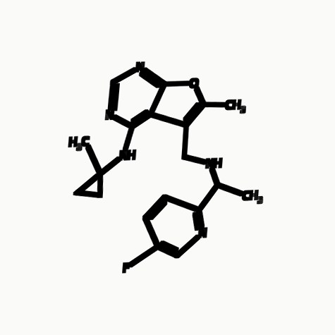 Cc1oc2ncnc(NC3(C)CC3)c2c1CNC(C)c1ccc(F)cn1